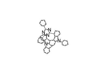 c1ccc(-c2nc(-c3ccccc3)nc(-c3cccc4c3c3c5c6ccccc6n6c7ccccc7c(cc3n4-c3ccccc3)c56)n2)cc1